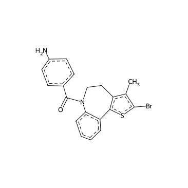 Cc1c(Br)sc2c1CCN(C(=O)c1ccc(N)cc1)c1ccccc1-2